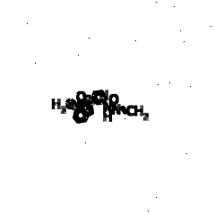 C=CCNC(=O)Nc1cc(O[N@@+]2(C(=O)NC)C=Cc3ccccc32)ccn1